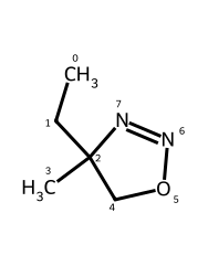 CCC1(C)CON=N1